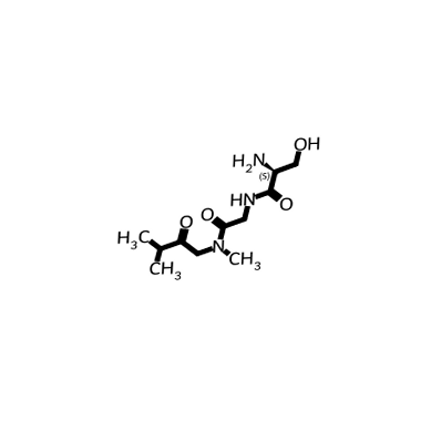 CC(C)C(=O)CN(C)C(=O)CNC(=O)[C@@H](N)CO